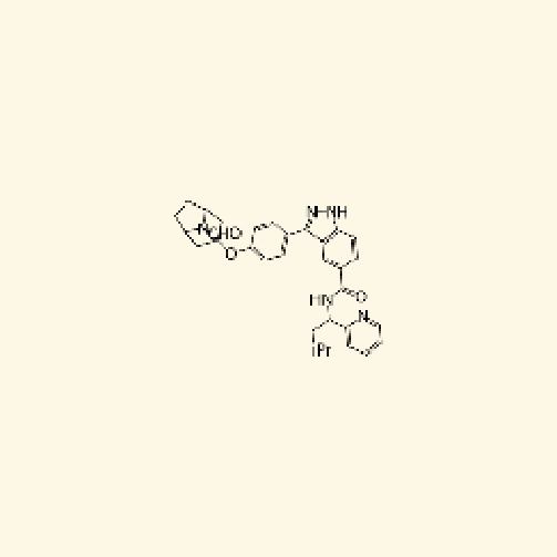 CC(C)CC(NC(=O)c1ccc2[nH]nc(-c3ccc(OC4CC5CCC(C4)N5C=O)cc3)c2c1)c1ccccn1